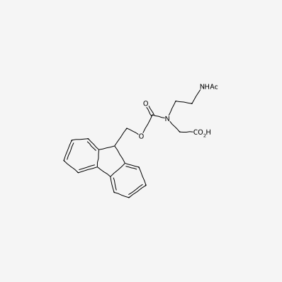 CC(=O)NCCN(CC(=O)O)C(=O)OCC1c2ccccc2-c2ccccc21